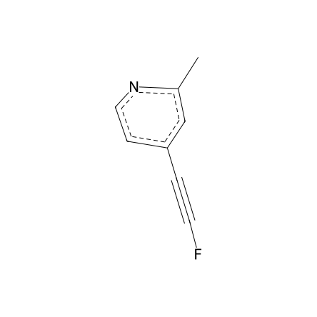 Cc1cc(C#CF)ccn1